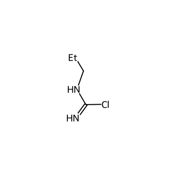 CCCNC(=N)Cl